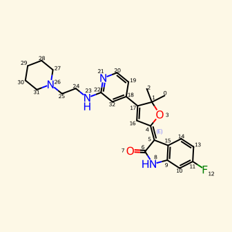 CC1(C)O/C(=C2/C(=O)Nc3cc(F)ccc32)C=C1c1ccnc(NCCN2CCCCC2)c1